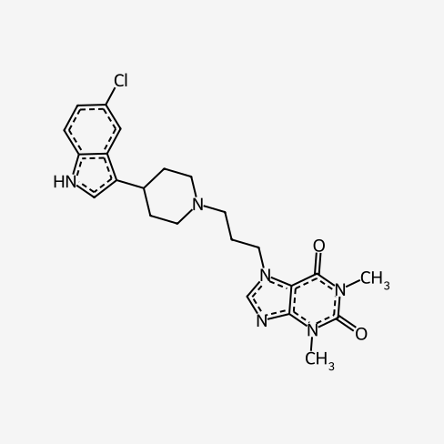 Cn1c(=O)c2c(ncn2CCCN2CCC(c3c[nH]c4ccc(Cl)cc34)CC2)n(C)c1=O